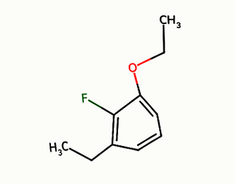 CCOc1cccc(CC)c1F